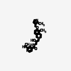 CNc1cc(C(=O)NCC(O)CN2CCc3c(ccc(OCc4ccnn4C)c3C)C2)ccn1